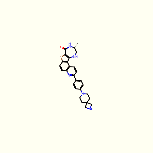 C[C@@H]1CNc2c(sc3ccc4nc(-c5ccc(N6CCC7(CC6)CNC7)cc5)ccc4c23)C(=O)N1